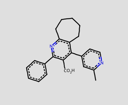 Cc1cc(-c2c3c(nc(-c4ccccc4)c2C(=O)O)CCCCC3)ccn1